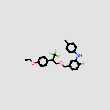 CCOc1ccc(C(COCc2ccc(F)c(Nc3ccc(C)cc3)c2)C(F)(F)F)cc1